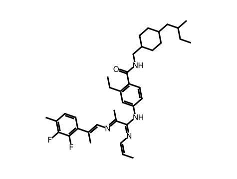 C\C=C/N=C(Nc1ccc(C(=O)NCC2CCC(CC(C)CC)CC2)c(CC)c1)\C(C)=N\C=C(/C)c1ccc(C)c(F)c1F